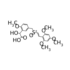 COc1cc(OC)c(C=C[S+]([O-])Cc2ccc(OC)c(C(O)C(=O)O)c2)c(OC)c1